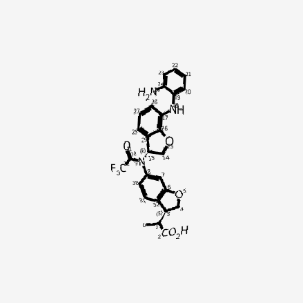 CC(C(=O)O)[C@@H]1COc2cc(N(C(=O)C(F)(F)F)[C@H]3COc4c(Nc5ccccc5N)cccc43)ccc21